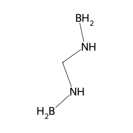 BNCNB